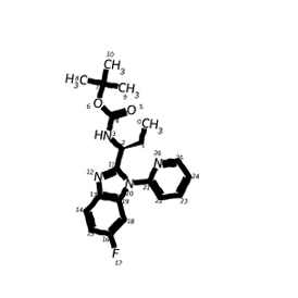 CC[C@H](NC(=O)OC(C)(C)C)c1nc2ccc(F)cc2n1-c1ccccn1